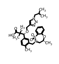 Cc1ccc([C@@H](OCc2cn(CC(C)C)nn2)C(C)(C)C(=O)O)cc1CN1C[C@@H](C)Oc2ccccc2S1(=O)=O